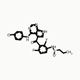 CCC[S+]([O-])Nc1ccc(F)c(C(=O)c2c[nH]c3ncnc(Nc4ccc(Cl)cc4)c23)c1F